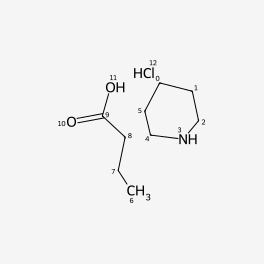 C1CCNCC1.CCCC(=O)O.Cl